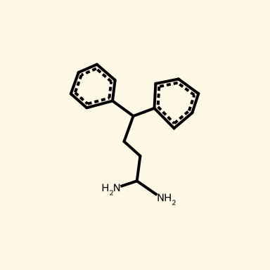 NC(N)CCC(c1ccccc1)c1ccccc1